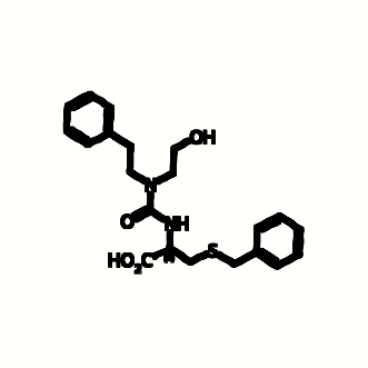 O=C(O)[C@H](CSCc1ccccc1)NC(=O)N(CCO)CCc1ccccc1